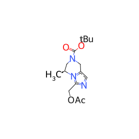 CC(=O)OCc1ncc2n1[C@@H](C)CN(C(=O)OC(C)(C)C)C2